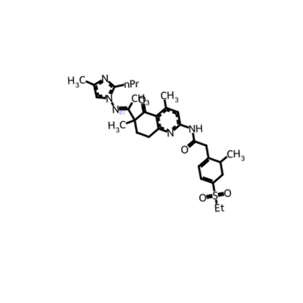 CCCc1nc(C)cn1/N=C(\C)C1(C)CCc2nc(NC(=O)CC3=CC=C(S(=O)(=O)CC)CC3C)cc(C)c2C1=O